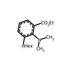 CCCCCCc1cccc(C(=O)OCC)c1N(C)C